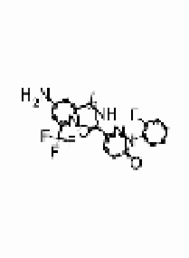 C[C@@H](NC(=O)c1ccc(=O)n(-c2ccccc2F)n1)c1cc(N)cc(C(F)(F)F)n1